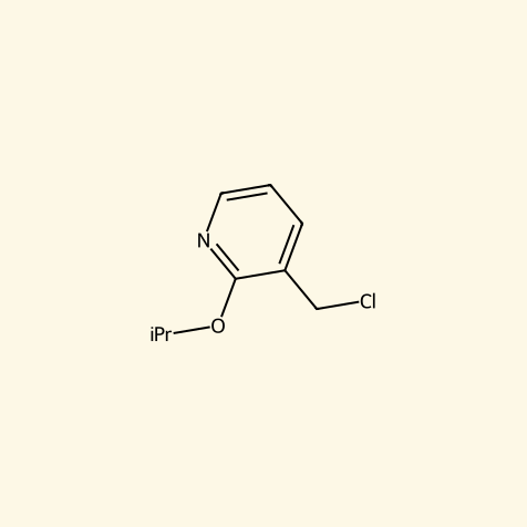 CC(C)Oc1ncccc1CCl